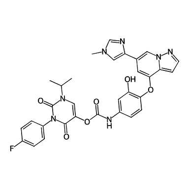 CC(C)n1cc(OC(=O)Nc2ccc(Oc3cc(-c4cn(C)cn4)cn4nccc34)c(O)c2)c(=O)n(-c2ccc(F)cc2)c1=O